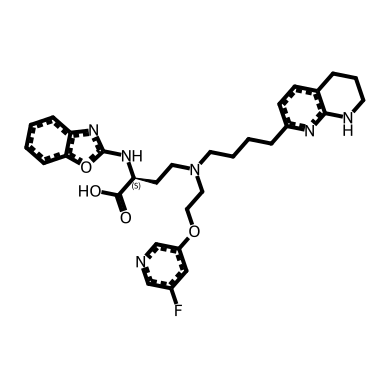 O=C(O)[C@H](CCN(CCCCc1ccc2c(n1)NCCC2)CCOc1cncc(F)c1)Nc1nc2ccccc2o1